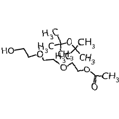 CC(=O)OCCOCCOCCO.CC(C)(C)OC(C)(C)C